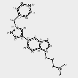 CN(C)CCCn1ccc2cc(-c3cnn(Cc4ccncc4)c3)ccc21